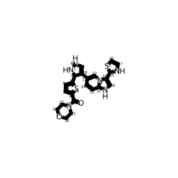 O=C(c1ccc(C2NNC=C2C2=CN3C(C4NC=CS4)=CNC3C=C2)s1)N1CCOCC1